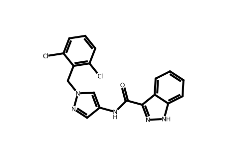 O=C(Nc1cnn(Cc2c(Cl)cccc2Cl)c1)c1n[nH]c2ccccc12